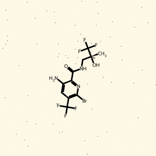 C[C@@](O)(CNC(=O)c1nc(Br)c(C(F)(F)F)cc1N)C(F)(F)F